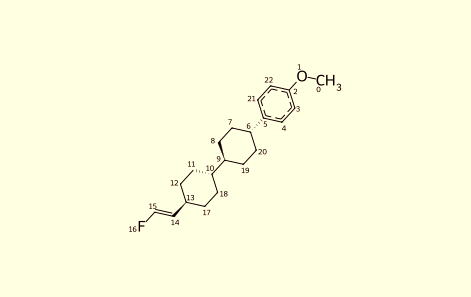 COc1ccc([C@H]2CC[C@H]([C@H]3CC[C@H](C=CF)CC3)CC2)cc1